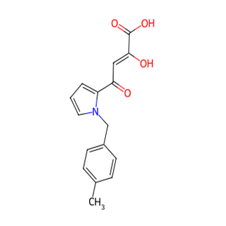 Cc1ccc(Cn2cccc2C(=O)C=C(O)C(=O)O)cc1